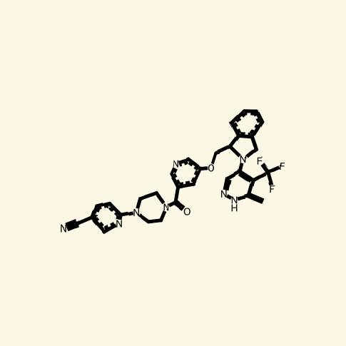 C=C1NN=CC(N2Cc3ccccc3C2COc2cncc(C(=O)N3CCN(c4ccc(C#N)cn4)CC3)c2)=C1C(F)(F)F